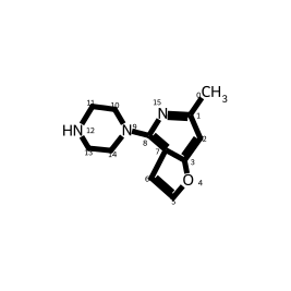 Cc1cc2occc2c(N2CCNCC2)n1